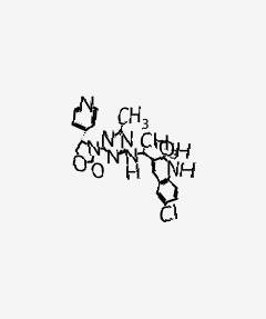 Cc1nc(N[C@@H](C)C2=Cc3cc(Cl)ccc3NC2O)nc(N2C(=O)OC[C@@H]2c2ccncc2)n1